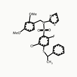 COc1ccc(CN(c2nccs2)S(=O)(=O)c2cc(Cl)c(SC(C)c3ccccc3)cc2F)c(OC)c1